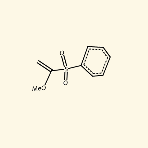 C=C(OC)S(=O)(=O)c1ccccc1